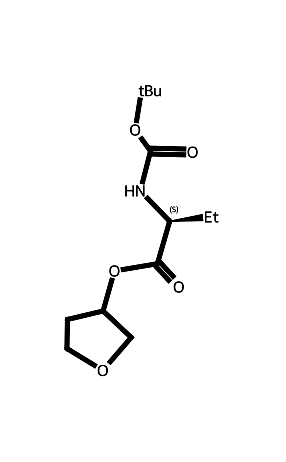 CC[C@H](NC(=O)OC(C)(C)C)C(=O)OC1CCOC1